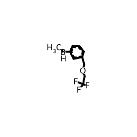 CBc1cccc(COCC(F)(F)F)c1